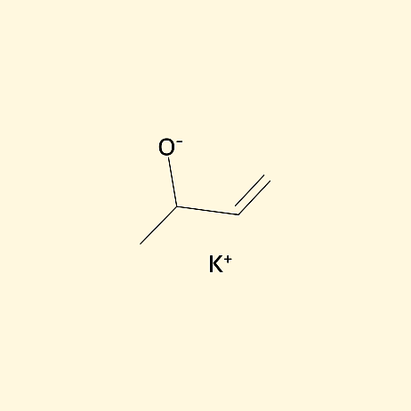 C=CC(C)[O-].[K+]